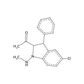 CNN1c2ccc(Cl)cc2C(c2ccccc2)C1C(C)=O